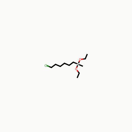 CCO[Si](C)(CCCCCCCl)OCC